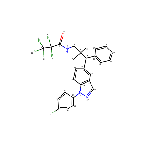 CC(C)(CNC(=O)C(F)(F)C(F)(F)F)C(c1ccccc1)c1ccc2c(cnn2-c2ccc(F)cc2)c1